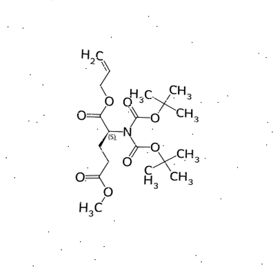 C=CCOC(=O)[C@H](CCC(=O)OC)N(C(=O)OC(C)(C)C)C(=O)OC(C)(C)C